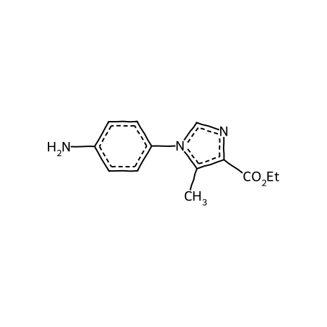 CCOC(=O)c1ncn(-c2ccc(N)cc2)c1C